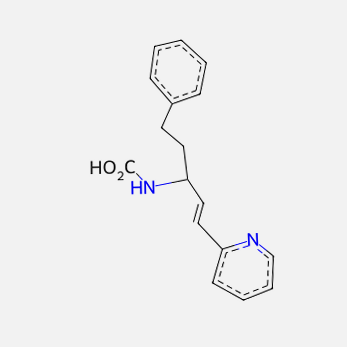 O=C(O)NC(C=Cc1ccccn1)CCc1ccccc1